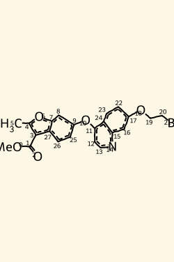 COC(=O)c1c(C)oc2cc(Oc3ccnc4cc(OCCBr)ccc34)ccc12